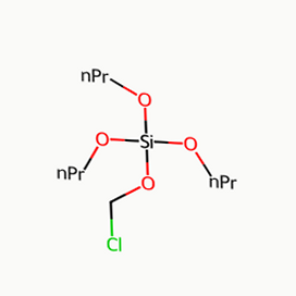 CCCO[Si](OCCl)(OCCC)OCCC